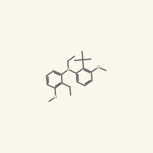 CCc1c(OC)cccc1N(CC)c1cccc(OC)c1C(C)(C)C